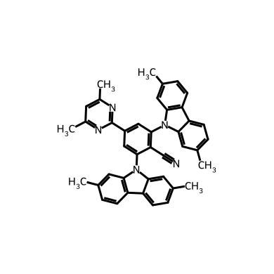 Cc1ccc2c3ccc(C)cc3n(-c3cc(-c4nc(C)cc(C)n4)cc(-n4c5cc(C)ccc5c5ccc(C)cc54)c3C#N)c2c1